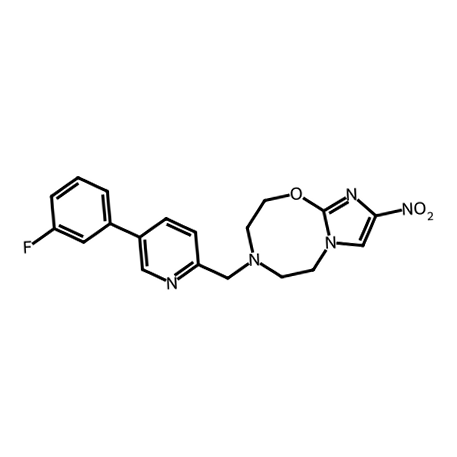 O=[N+]([O-])c1cn2c(n1)OCCN(Cc1ccc(-c3cccc(F)c3)cn1)CC2